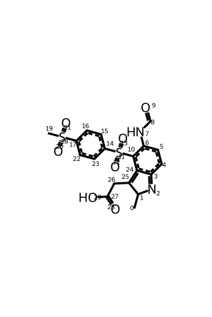 CC1N=c2ccc(NC=O)c(S(=O)(=O)c3ccc(S(C)(=O)=O)cc3)c2=C1CC(=O)O